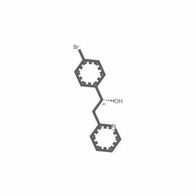 O[C@H](Cc1ccccn1)c1ccc(Br)cc1